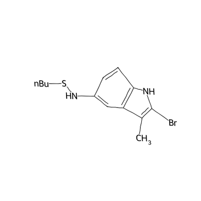 CCCCSNc1ccc2[nH]c(Br)c(C)c2c1